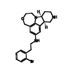 Brc1ccccc1CCNc1cc2c3c(c1)[C@@H]1CNCC[C@@H]1N3CCOC2